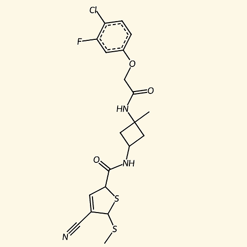 CSC1SC(C(=O)NC2CC(C)(NC(=O)COc3ccc(Cl)c(F)c3)C2)C=C1C#N